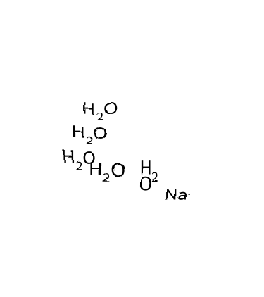 O.O.O.O.O.[Na]